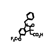 CC1(CC(=O)O)C(=O)N(Cc2ccccc2)c2ccc(OC(F)(F)F)cc21